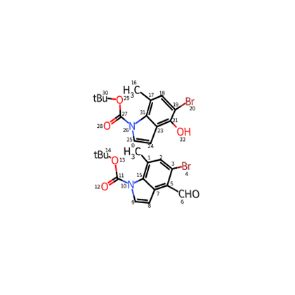 Cc1cc(Br)c(C=O)c2ccn(C(=O)OC(C)(C)C)c12.Cc1cc(Br)c(O)c2ccn(C(=O)OC(C)(C)C)c12